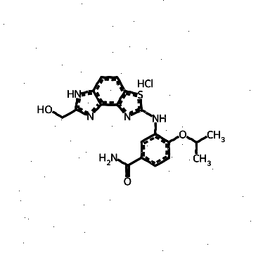 CC(C)Oc1ccc(C(N)=O)cc1Nc1nc2c(ccc3[nH]c(CO)nc32)s1.Cl